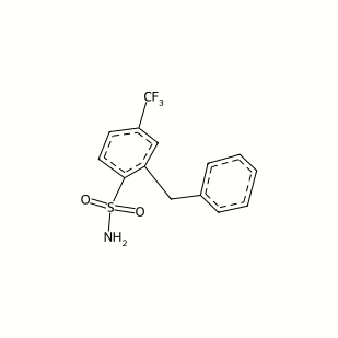 NS(=O)(=O)c1ccc(C(F)(F)F)cc1Cc1ccccc1